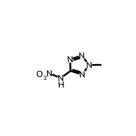 Cn1nnc(N[N+](=O)[O-])n1